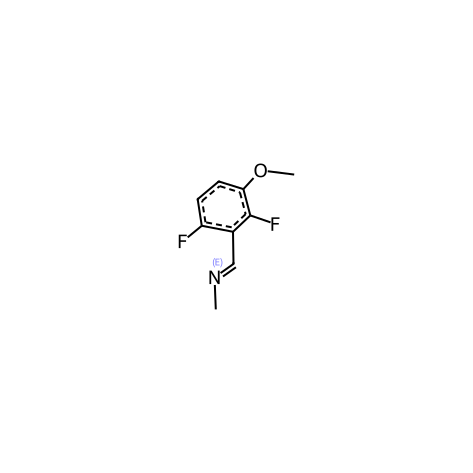 C/N=C/c1c(F)ccc(OC)c1F